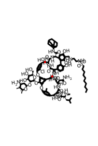 CCCCCCCCCCS(=O)(=O)NCCNCc1c(O)cc2c(c1O)-c1cc(ccc1O)[C@H]1NC(=O)[C@@H]3NC(=O)[C@H](CC(N)=O)NC(=O)[C@H](NC(=O)[C@@H](CC(C)C)NC)[C@H](O)c4ccc(c(C)c4)Oc4cc3cc(c4O[C@@H]3O[C@H](CO)[C@@H](O)[C@H](O)[C@H]3O[C@H]3C[C@H](N)[C@H](C)[C@H](C)O3)Oc3ccc(cc3Cl)[C@@H](O)[C@H](NC1=O)C(=O)N[C@@H]2C(=O)NC1C2CC3CC(C2)CC1C3